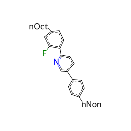 CCCCCCCCCc1ccc(-c2ccc(-c3ccc(CCCCCCCC)cc3F)nc2)cc1